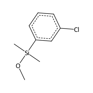 CO[Si](C)(C)c1cccc(Cl)c1